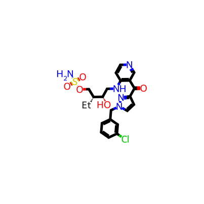 CC[C@H](COS(N)(=O)=O)[C@@H](O)CNc1ccncc1C(=O)c1ccn(Cc2cccc(Cl)c2)n1